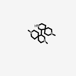 CN1CCC2(CCNCC2C2CN(C)CCC23CCN(C)CC3)CC1